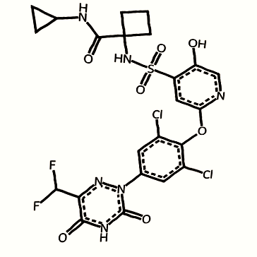 O=C(NC1CC1)C1(NS(=O)(=O)c2cc(Oc3c(Cl)cc(-n4nc(C(F)F)c(=O)[nH]c4=O)cc3Cl)ncc2O)CCC1